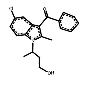 Cc1c(C(=O)c2ccccc2)c2cc(Cl)ccc2n1C(C)CCO